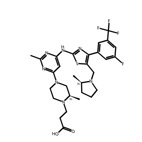 Cc1nc(Nc2nc(-c3cc(F)cc(C(F)(F)F)c3)c(CN3CCC[C@H]3C)s2)cc(N2CCN(CCC(=O)O)[C@H](C)C2)n1